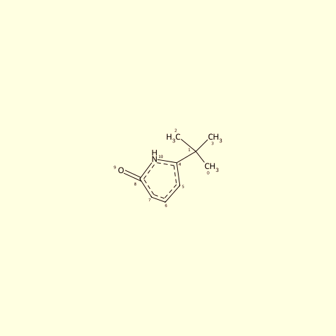 CC(C)(C)c1cccc(=O)[nH]1